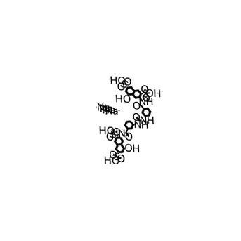 O=C(Nc1cccc(C(=O)Nc2cc3c(O)cc(S(=O)(=O)O)cc3cc2S(=O)(=O)O)c1)Nc1cccc(C(=O)Nc2cc3c(O)cc(S(=O)(=O)O)cc3cc2S(=O)(=O)O)c1.[Na].[Na].[Na].[Na]